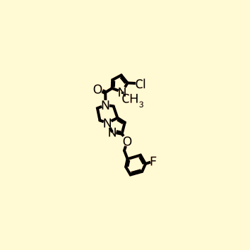 Cn1c(Cl)ccc1C(=O)N1CCn2nc(OCc3cccc(F)c3)cc2C1